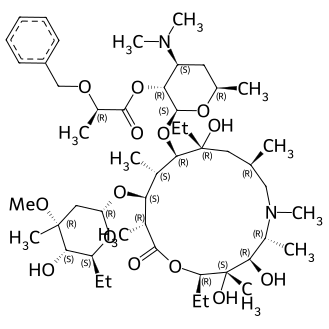 CC[C@@H]1O[C@@H](O[C@H]2[C@H](C)[C@@H](O[C@@H]3O[C@H](C)C[C@H](N(C)C)[C@H]3OC(=O)[C@@H](C)OCc3ccccc3)[C@@](O)(CC)C[C@@H](C)CN(C)[C@H](C)[C@@H](O)[C@](C)(O)[C@@H](CC)OC(=O)[C@@H]2C)C[C@@](C)(OC)[C@H]1O